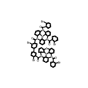 O=C(c1ccccc1Br)N1c2cccc3c2N2c4c(cccc4N(C(=O)c4cc(-c5ccc(C(=O)N6c7cccc8c7N7c9c(cccc9N(C(=O)c9ccccc9Br)c9cccc6c97)N8C(=O)c6ccccc6Br)c(Br)c5)ccc4Br)c4cccc1c42)S3